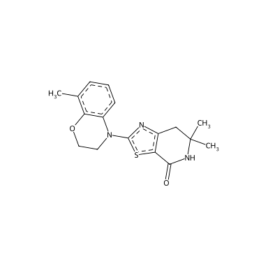 Cc1cccc2c1OCCN2c1nc2c(s1)C(=O)NC(C)(C)C2